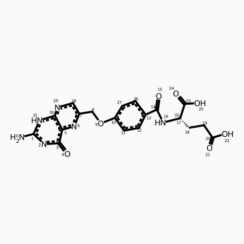 Nc1nc(=O)c2nc(COc3ccc(C(=O)N[C@@H](CCC(=O)O)C(=O)O)cc3)cnc2[nH]1